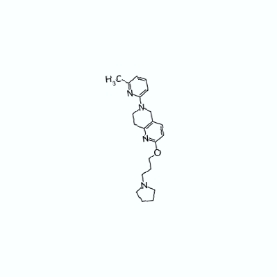 Cc1cccc(N2CCc3nc(OCCCN4CCCC4)ccc3C2)n1